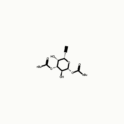 C#C[C@@H]1O[C@H](OC(=O)CCCC)[C@@H](O)[C@H](OC(=O)CCCC)[C@@H]1O